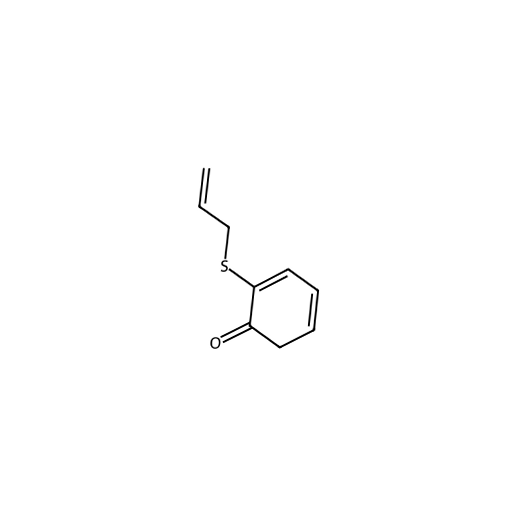 C=CCSC1=CC=CCC1=O